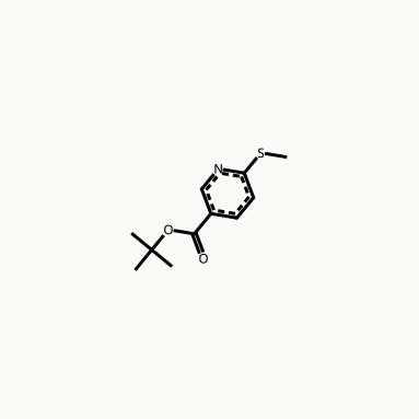 CSc1ccc(C(=O)OC(C)(C)C)cn1